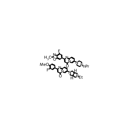 CCCN1CCN(c2ccc3nc(-c4cc(F)c5nc(C)oc5c4)cc(=O)n3c2)CC1.CCN1C[C@@H]2CN(c3ccc4nc(-c5ccc(OC)c(F)c5)cc(=O)n4c3)C[C@@H]2C1